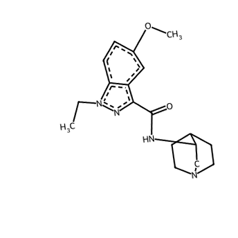 CCn1nc(C(=O)NC2CN3CCC2CC3)c2cc(OC)ccc21